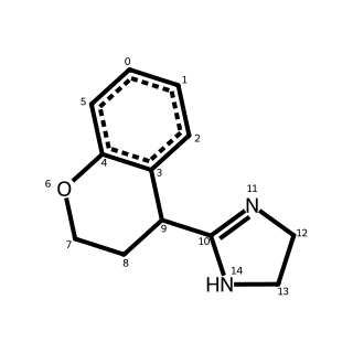 c1ccc2c(c1)OCCC2C1=NCCN1